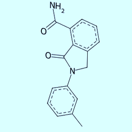 Cc1cccc(N2Cc3cccc(C(N)=O)c3C2=O)c1